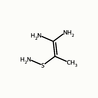 CC(SN)=C(N)N